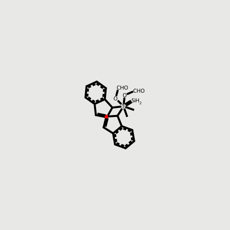 [CH3][Ti]([CH3])(=[SiH2])([O]C=O)([O]C=O)([CH]1C=Cc2ccccc21)[CH]1C=Cc2ccccc21